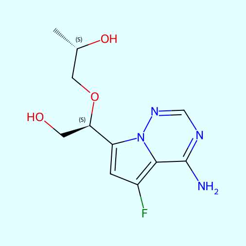 C[C@H](O)CO[C@H](CO)c1cc(F)c2c(N)ncnn12